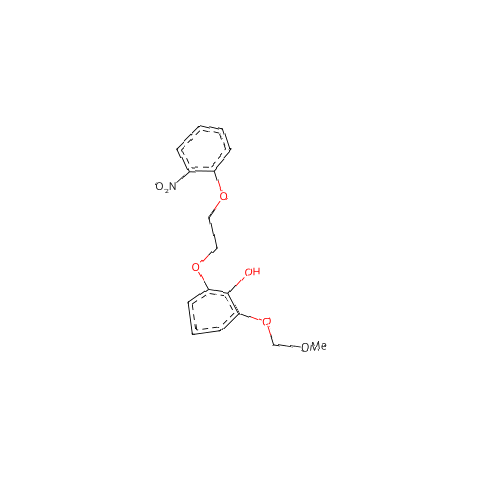 COCOc1cccc(OCCOc2ccccc2[N+](=O)[O-])c1O